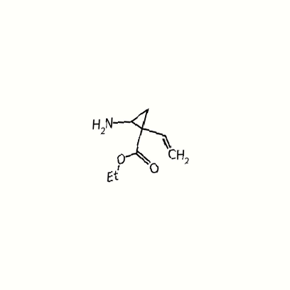 C=CC1(C(=O)OCC)CC1N